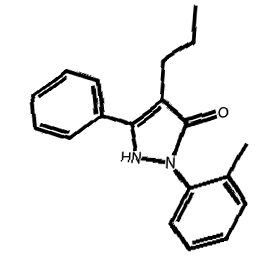 CCCc1c(-c2ccccc2)[nH]n(-c2ccccc2C)c1=O